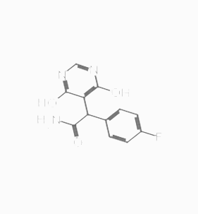 NC(=O)C(c1ccc(F)cc1)c1c(O)ncnc1O